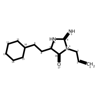 C=CCN1C(=N)NC(CCC2CCCCC2)C1=O